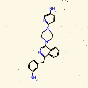 Nc1ccc(N2CCN(c3cnc(Cc4cccc(N)c4)c4ccccc34)CC2)nc1